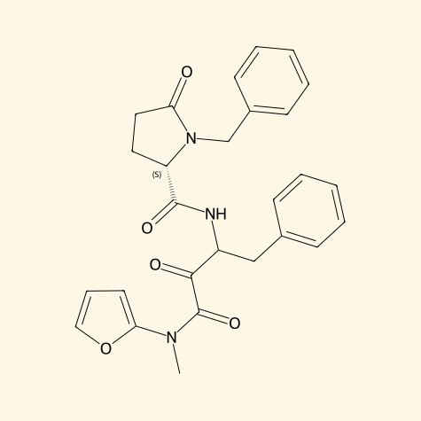 CN(C(=O)C(=O)C(Cc1ccccc1)NC(=O)[C@@H]1CCC(=O)N1Cc1ccccc1)c1ccco1